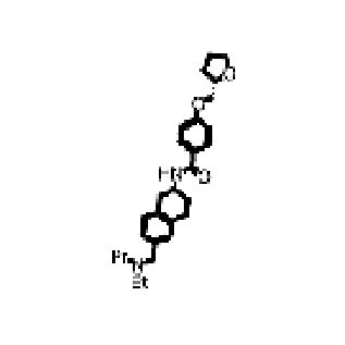 CCN(Cc1ccc2c(c1)CC[C@H](NC(=O)c1ccc(OC[C@@H]3CCCO3)cc1)C2)C(C)C